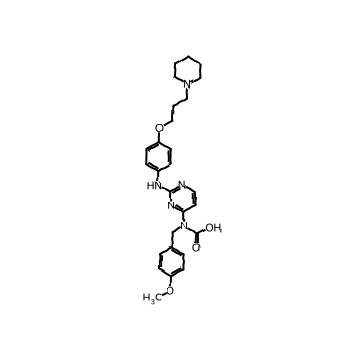 COc1ccc(CN(C(=O)O)c2ccnc(Nc3ccc(OCCCN4CCCCC4)cc3)n2)cc1